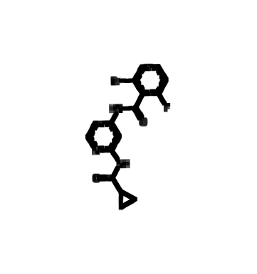 O=C(Nc1ccnc(NC(=O)C2CC2)c1)c1c(F)cccc1Br